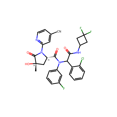 C[C@]1(O)C[C@@H](C(=O)N(c2cccc(F)c2)C(C(=O)NC2CC(F)(F)C2)c2ccccc2Cl)N(c2cc(C#N)ccn2)C1=O